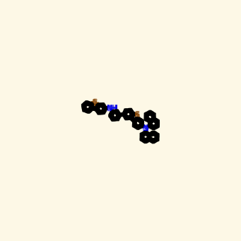 c1cc(Nc2ccc3c(c2)sc2ccccc23)cc(-c2ccc3sc4cc(N(c5cccc6ccccc56)c5cccc6ccccc56)ccc4c3c2)c1